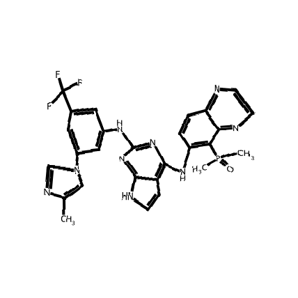 Cc1cn(-c2cc(Nc3nc(Nc4ccc5nccnc5c4P(C)(C)=O)c4cc[nH]c4n3)cc(C(F)(F)F)c2)cn1